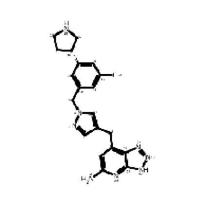 Nc1cc(Cc2cnn(Cc3cc(F)cc([C@@H]4CCNC4)c3)c2)c2nn[nH]c2n1